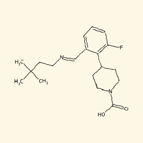 CC(C)(C)CCN=Cc1cccc(F)c1C1CCN(C(=O)O)CC1